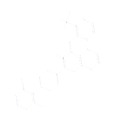 Cc1ccnc(F)c1N1CCC(c2cc3nccnc3n(Cc3nccnc3C(F)(F)F)c2=O)CC1